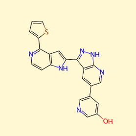 Oc1cncc(-c2cnc3[nH]nc(-c4cc5c(-c6cccs6)nccc5[nH]4)c3c2)c1